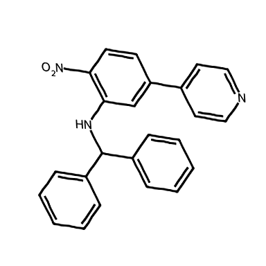 O=[N+]([O-])c1ccc(-c2ccncc2)cc1NC(c1ccccc1)c1ccccc1